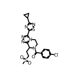 CS(=O)(=O)CCC1c2nnc(-c3nc(C4CC4)ns3)n2CCN1C(=O)c1ccc(Cl)cc1